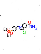 CCOP(=O)(OCC)c1ccc(Cn2cc(Cl)c3cc(C(N)=O)ccc32)cc1